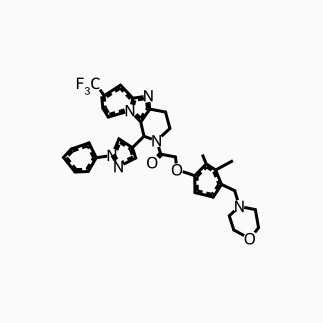 Cc1c(CN2CCOCC2)ccc(OCC(=O)N2CCc3nc4cc(C(F)(F)F)ccn4c3C2c2cnn(-c3ccccc3)c2)c1C